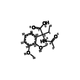 CCC(NC(C)=O)(C(=O)O)c1cccc(OC)c1OC